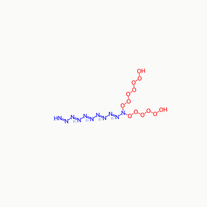 N=N/N=N/N=N/N=N/N=N/N(OOOOOO)OOOOOOO